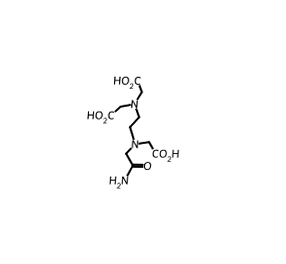 NC(=O)CN(CCN(CC(=O)O)CC(=O)O)CC(=O)O